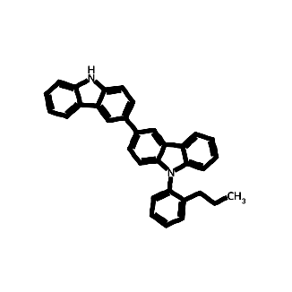 CCCc1ccccc1-n1c2ccccc2c2cc(-c3ccc4[nH]c5ccccc5c4c3)ccc21